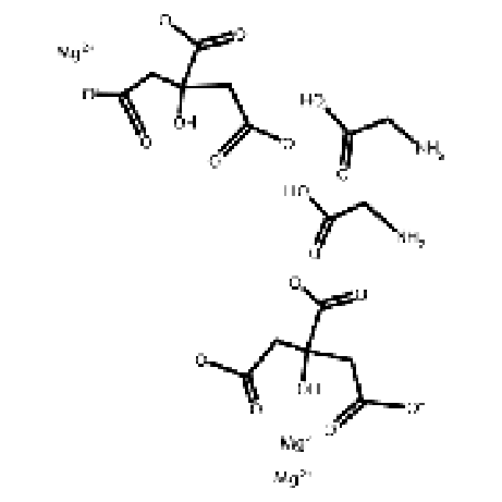 NCC(=O)O.NCC(=O)O.O=C([O-])CC(O)(CC(=O)[O-])C(=O)[O-].O=C([O-])CC(O)(CC(=O)[O-])C(=O)[O-].[Mg+2].[Mg+2].[Mg+2]